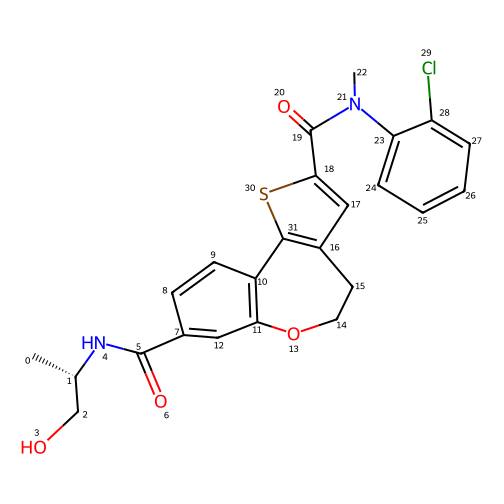 C[C@@H](CO)NC(=O)c1ccc2c(c1)OCCc1cc(C(=O)N(C)c3ccccc3Cl)sc1-2